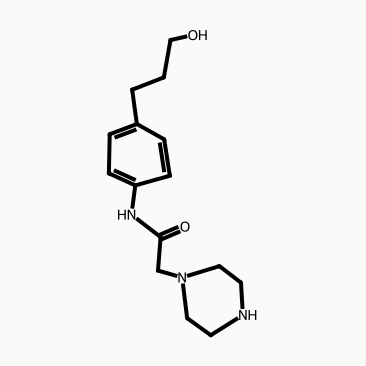 O=C(CN1CCNCC1)Nc1ccc(CCCO)cc1